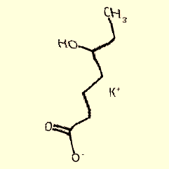 CCC(O)CCCC(=O)[O-].[K+]